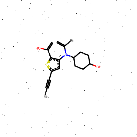 C=C(O)c1sc(C#CC(C)(C)C)cc1N(C(=C)CC)C1CCC(O)CC1